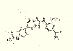 COc1cc(C(N)=O)ccc1Nc1nc2ccc(-c3ccc(NC(=O)O)cc3)cn2n1